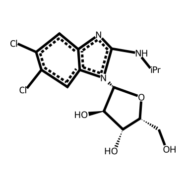 CC(C)Nc1nc2cc(Cl)c(Cl)cc2n1[C@@H]1O[C@H](CO)[C@H](O)[C@H]1O